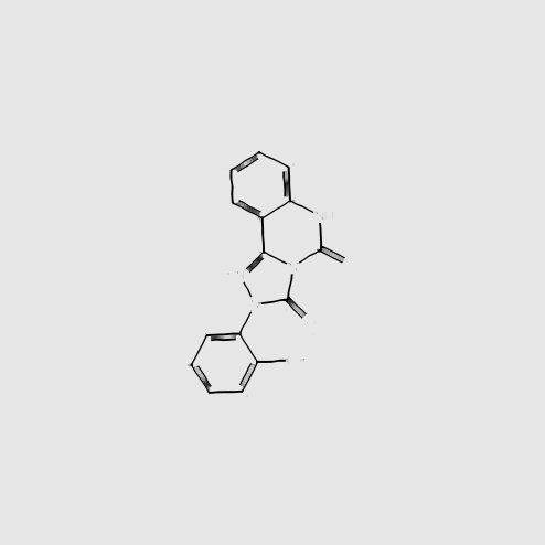 O=c1[nH]c2ccccc2c2nn(-c3ccccc3F)c(=O)n12